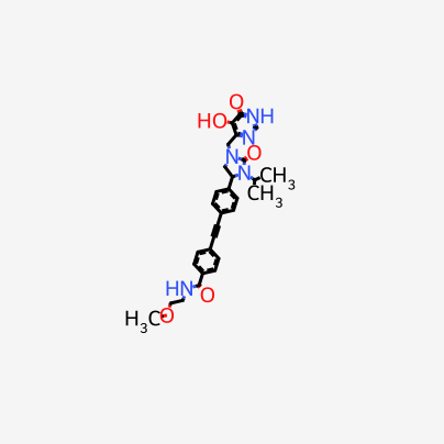 COCCNC(=O)c1ccc(C#Cc2ccc(C3CN(Cc4nc[nH]c(=O)c4O)C(=O)N3C(C)C)cc2)cc1